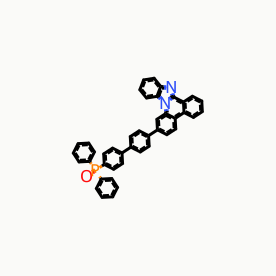 O=P(c1ccccc1)(c1ccccc1)c1ccc(-c2ccc(-c3ccc4c5ccccc5c5nc6ccccc6n5c4c3)cc2)cc1